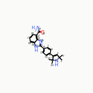 CC1(C)C=C(c2ccc(-c3nc4c(C(N)=O)cccc4[nH]3)cc2)C(C)(C)N1